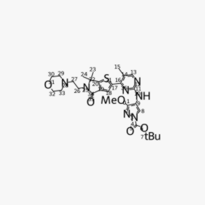 COc1nn(C(=O)OC(C)(C)C)cc1Nc1ncc(C)c(-c2cc3c(s2)C(C)(C)N(CCN2CCOCC2)C3=O)n1